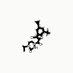 CC(C)N1CCN(C(=O)c2oc3c(C(F)(F)F)cc(C4CC4)cc3c2Cl)NC1=O